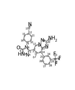 Cc1c(-c2n[nH]c(=O)n2-c2ccc(C#N)cc2)cn2nc(N)nc2c1-c1cccc(C(F)(F)F)c1